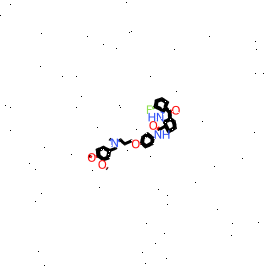 COc1ccc(CN(C)CCCOc2ccc(NC(=O)c3cccc4c(=O)c5cccc(F)c5[nH]c34)cc2)cc1OC